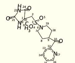 C[C@]1(CS(=O)(=O)N2CCC(C(=O)c3ccccn3)CC2)NC(=O)NC1=O